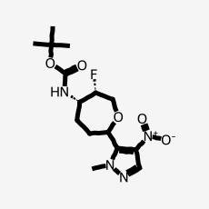 Cn1ncc([N+](=O)[O-])c1C1CC[C@H](NC(=O)OC(C)(C)C)[C@H](F)CO1